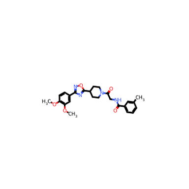 COc1ccc(-c2noc(C3CCN(C(=O)CNC(=O)c4cccc(C)c4)CC3)n2)cc1OC